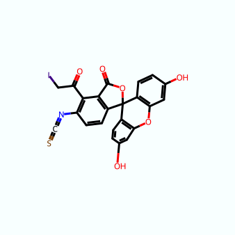 O=C(CI)c1c(N=C=S)ccc2c1C(=O)OC21c2ccc(O)cc2Oc2cc(O)ccc21